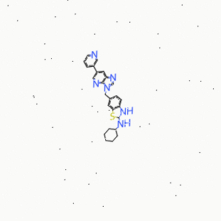 c1cncc(-c2cnc3c(c2)ncn3Cc2ccc3c(c2)SC(NC2CCCCC2)N3)c1